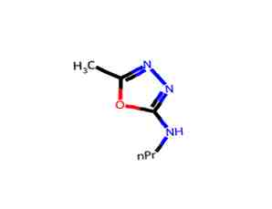 CCCNc1nnc(C)o1